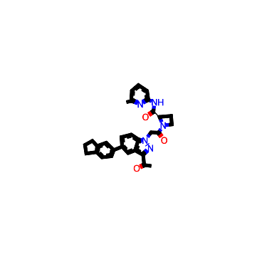 CC(=O)c1nn(CC(=O)N2CC[C@H]2C(=O)Nc2cccc(C)n2)c2ccc(-c3ccc4c(c3)CCC4)cc12